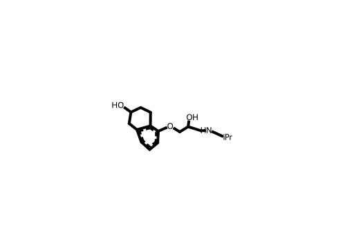 CC(C)NCC(O)COc1cccc2c1CCC(O)C2